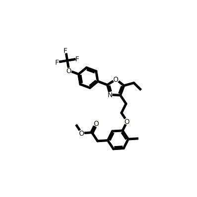 CCc1oc(-c2ccc(OC(F)(F)F)cc2)nc1CCOc1cc(CC(=O)OC)ccc1C